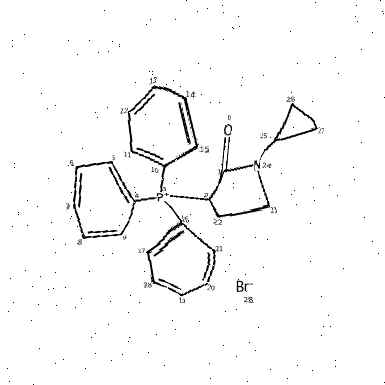 O=C1C([P+](c2ccccc2)(c2ccccc2)c2ccccc2)CCN1C1CC1.[Br-]